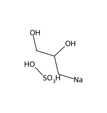 O=S(=O)(O)O.OCC(O)[CH2][Na]